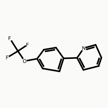 FC(F)(F)Oc1ccc(-c2c[c]ccn2)cc1